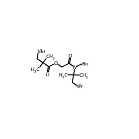 CCC(C)N(C(=O)COC(=O)C(C)(C)CC(C)(C)C)C(C)(C)CC(C)C